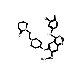 COc1cc2ncnc(Nc3ccc(F)c(Cl)c3)c2cc1OC1CCN(CCN2CCCCC2=O)CC1